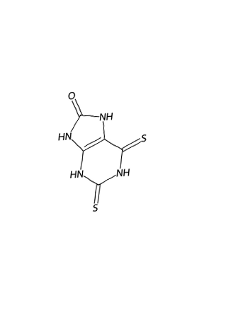 O=c1[nH]c2[nH]c(=S)[nH]c(=S)c2[nH]1